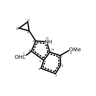 COc1cccc2c(C=O)c(C3CC3)[nH]c12